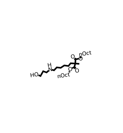 CCCCCCCCOC(=O)C(C)(CCCCCCNCCCO)C(=O)OCCCCCCCC